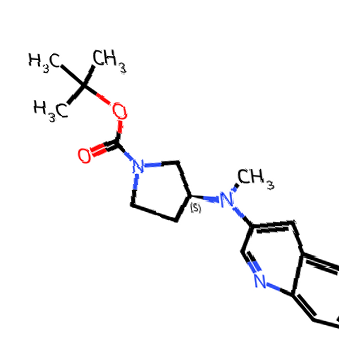 CN(c1cnc2ccccc2c1)[C@H]1CCN(C(=O)OC(C)(C)C)C1